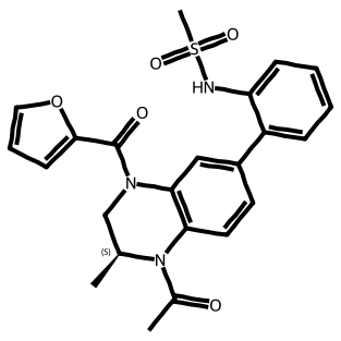 CC(=O)N1c2ccc(-c3ccccc3NS(C)(=O)=O)cc2N(C(=O)c2ccco2)C[C@@H]1C